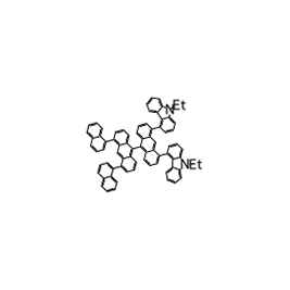 CCn1c2ccccc2c2c(-c3cccc4c(-c5c6cccc(-c7cccc8ccccc78)c6cc6c(-c7cccc8ccccc78)cccc56)c5cccc(-c6cccc7c6c6ccccc6n7CC)c5cc34)cccc21